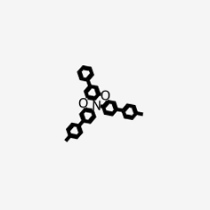 Cc1ccc(-c2ccc3c(c2)Oc2cc(-c4ccccc4)cc4c2N3c2ccc(-c3ccc(C)cc3)cc2O4)cc1